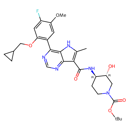 COc1cc(-c2ncnc3c(C(=O)N[C@@H]4CCN(C(=O)OC(C)(C)C)C[C@H]4O)c(C)[nH]c23)c(OCC2CC2)cc1F